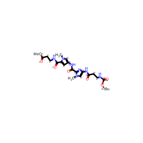 COC(=O)CCNC(=O)c1cc(NC(=O)c2nc(NC(=O)CCNC(=O)OC(C)(C)C)cn2C)cn1C